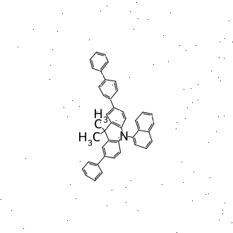 CC1(C)c2cc(-c3ccccc3)ccc2N(c2cccc3ccccc23)c2ccc(-c3ccc(-c4ccccc4)cc3)cc21